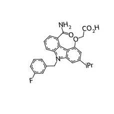 CC(C)c1cc(OCC(=O)O)c2c3c(C(N)=O)cccc3n(Cc3cccc(F)c3)c2c1